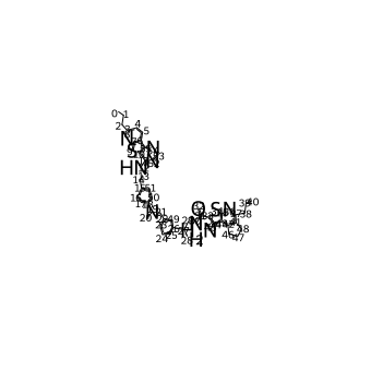 CCCc1ccc2c(n1)sc1c(NCCc3ccc(N(C)Cc4cccc([C@H](C)CNC(=O)c5sc6nc(CCC)c7c(c6c5N)CCC7)c4)cc3)ncnc12